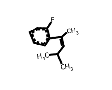 C/C(=C/C(C)C)c1ccccc1F